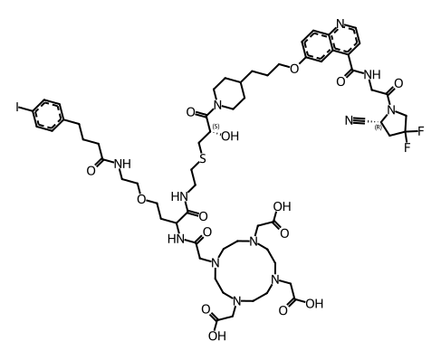 N#C[C@H]1CC(F)(F)CN1C(=O)CNC(=O)c1ccnc2ccc(OCCCC3CCN(C(=O)[C@H](O)CSCCNC(=O)C(CCOCCNC(=O)CCCc4ccc(I)cc4)NC(=O)CN4CCN(CC(=O)O)CCN(CC(=O)O)CCN(CC(=O)O)CC4)CC3)cc12